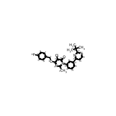 Cc1nc(OCc2ccc(F)cc2)c(Cl)c(=O)n1-c1cccc(-c2ccnc(C(C)(C)C)n2)c1